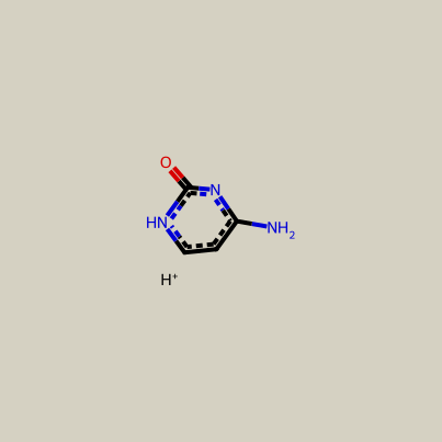 Nc1cc[nH]c(=O)n1.[H+]